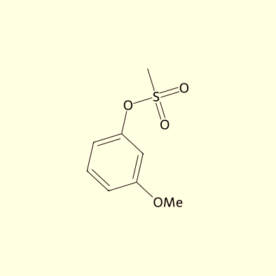 COc1cccc(OS(C)(=O)=O)c1